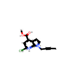 CC#CCn1ccc2c(C(=O)OC)cc(Cl)nc21